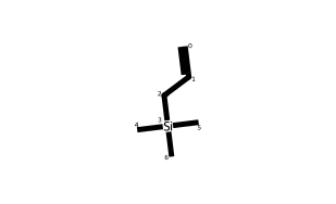 C=C[CH][Si](C)(C)C